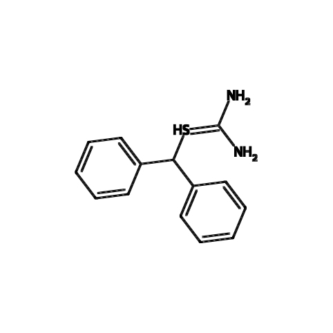 NC(N)=[SH]C(c1ccccc1)c1ccccc1